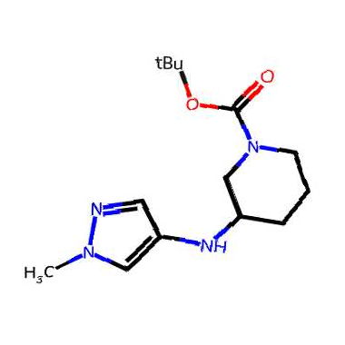 Cn1cc(NC2CCCN(C(=O)OC(C)(C)C)C2)cn1